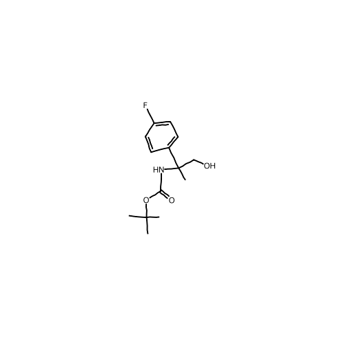 CC(C)(C)OC(=O)NC(C)(CO)c1ccc(F)cc1